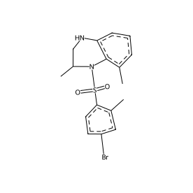 Cc1cc(Br)ccc1S(=O)(=O)N1c2c(C)cccc2NCC1C